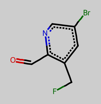 O=Cc1ncc(Br)cc1CF